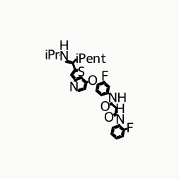 CCCC(C)/C(=C\NC(C)C)c1cc2nccc(Oc3ccc(NC(=O)CC(=O)Nc4ccccc4F)cc3F)c2s1